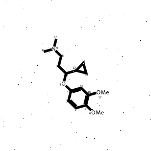 COc1ccc(OC(CCN(C)C)C2CC2)cc1OC